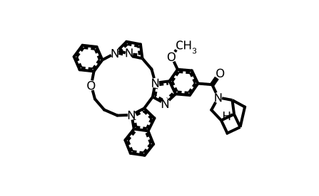 COc1cc(C(=O)N2CC3CC4CC2[C@H]43)cc2nc3n(c12)Cc1ccn(n1)-c1ccccc1OCCCn1c-3cc2ccccc21